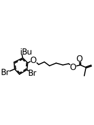 C=C(C)C(=O)OCCCCCCOc1c(Br)cc(Br)cc1C(C)CC